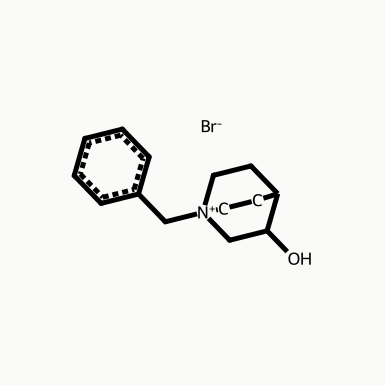 OC1C[N+]2(Cc3ccccc3)CCC1CC2.[Br-]